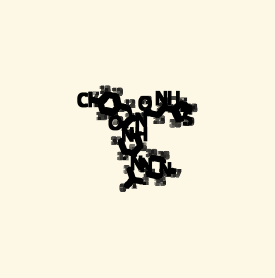 CC(C)CN(C1CCN(C(=O)[C@@H](Cc2ccc(Cl)cc2)NC(=O)C[C@H](N)c2ccsc2)CC1)N1CCN(C)CC1